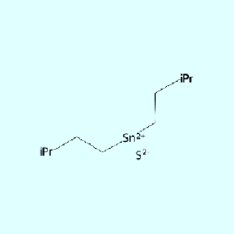 CC(C)C[CH2][Sn+2][CH2]CC(C)C.[S-2]